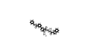 Nc1ncc(-c2cccc(C(=O)NCc3ccccc3)c2)nc1C(=O)NCCNC(=O)c1cnc2ccccc2n1